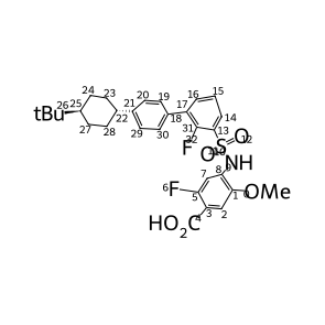 COc1cc(C(=O)O)c(F)cc1NS(=O)(=O)c1cccc(-c2ccc([C@H]3CC[C@H](C(C)(C)C)CC3)cc2)c1F